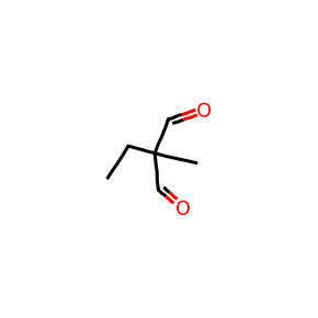 CCC(C)(C=O)C=O